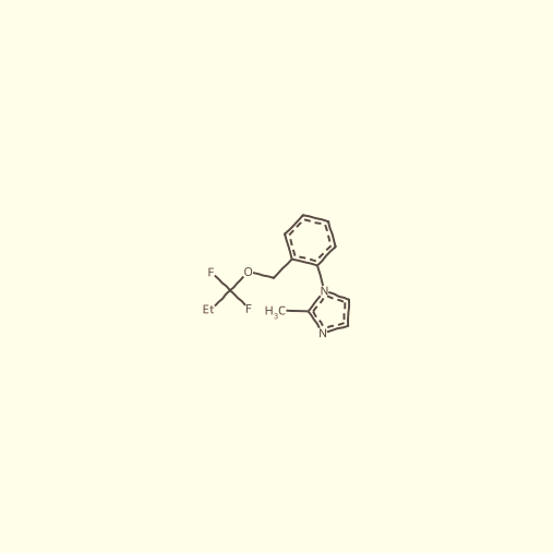 CCC(F)(F)OCc1ccccc1-n1ccnc1C